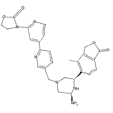 Cc1c([C@@H]2CN(Cc3ccc(-c4ccnc(N5CCOC5=O)c4)nc3)C[C@H](N)N2)ccc2c1COC2=O